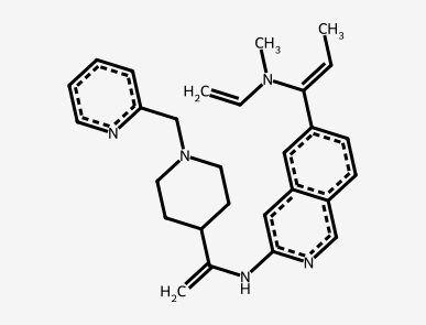 C=CN(C)/C(=C\C)c1ccc2cnc(NC(=C)C3CCN(Cc4ccccn4)CC3)cc2c1